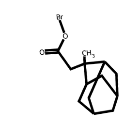 CC1(CC(=O)OBr)C2CC3CC(C2)CC1C3